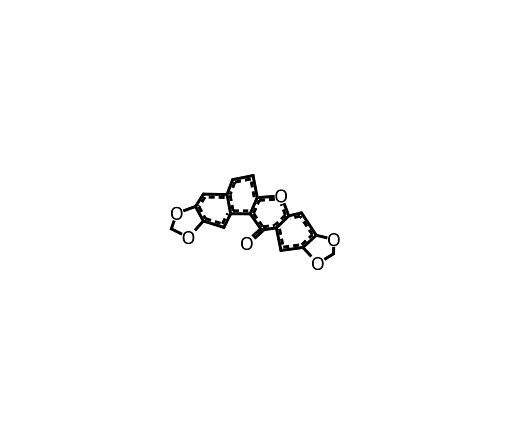 O=c1c2cc3c(cc2oc2ccc4cc5c(cc4c12)OCO5)OCO3